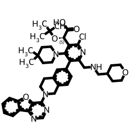 CC1(C)CCN(c2c(-c3ccc4c(c3)CCN(c3ncnc5c3oc3ccccc35)C4)c(CNCC3CCOCC3)nc(Cl)c2[C@H](OC(C)(C)C)C(=O)O)CC1